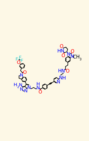 Cn1c(=O)n(C2CCC(=O)NC2=O)c2ccc(CCC(=O)NCCNc3ccc(C#Cc4ccc(C(=O)NCCCn5cc(-c6ccc7c(c6)CCN7C(=O)Cc6cccc(OC(F)(F)F)c6)c6c(N)ncnc65)cc4)cn3)cc21